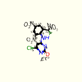 CCOc1nc(Cl)cc(Nc2c(C(F)[N+](=O)[O-])cc([N+](=O)[O-])cc2[N+](=O)[O-])n1